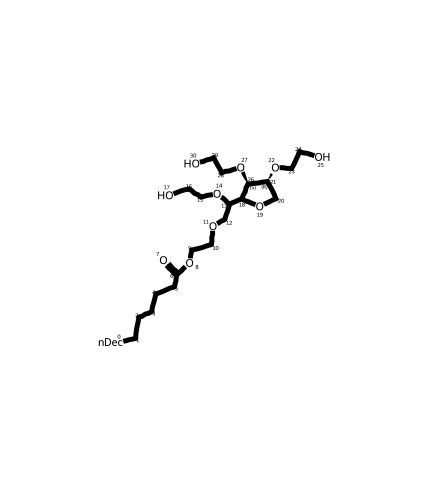 CCCCCCCCCCCCCCCC(=O)OCCOCC(OCCO)C1OC[C@@H](OCCO)[C@@H]1OCCO